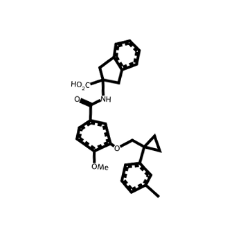 COc1ccc(C(=O)NC2(C(=O)O)Cc3ccccc3C2)cc1OCC1(c2cccc(C)c2)CC1